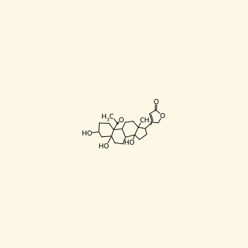 CC(=O)C12CCC(O)CC1(O)CCC1C2CCC2(C)C(C3=CC(=O)OC3)CCC12O